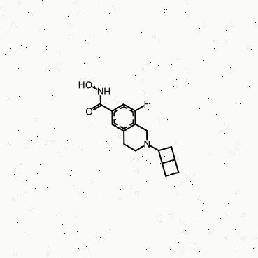 O=C(NO)c1cc(F)c2c(c1)CCN(C1CC3CCC31)C2